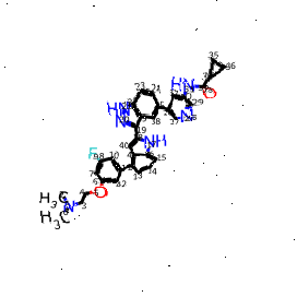 CN(C)CCOc1cc(F)cc(-c2cccc3[nH]c(-c4n[nH]c5ccc(-c6cncc(NC(=O)C7CC7)c6)cc45)cc23)c1